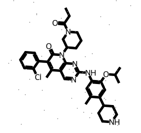 CCC(=O)N1CCCC(n2c(=O)c(-c3ccccc3Cl)c(C)c3cnc(Nc4cc(C)c(C5CCNCC5)cc4OC(C)C)nc32)C1